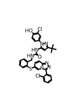 CC(C)(C)c1cc(NC(=O)NCc2ccccc2Sc2ccc3nnc(-c4ccccc4Cl)n3c2)n(-c2ccc(O)c(Cl)c2)n1